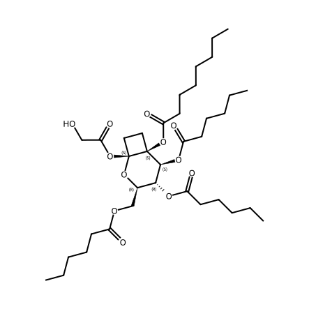 CCCCCCCC(=O)O[C@]12CC[C@@]1(OC(=O)CO)O[C@H](COC(=O)CCCCC)[C@@H](OC(=O)CCCCC)[C@@H]2OC(=O)CCCCC